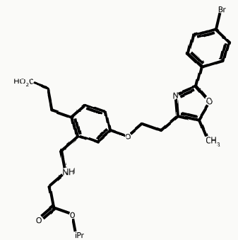 Cc1oc(-c2ccc(Br)cc2)nc1CCOc1ccc(CCC(=O)O)c(CNCC(=O)OC(C)C)c1